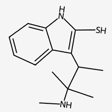 CNC(C)(C)C(C)c1c(S)[nH]c2ccccc12